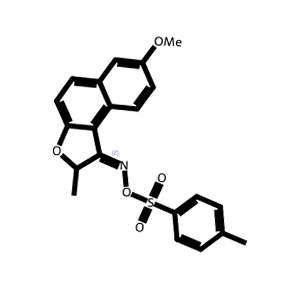 COc1ccc2c3c(ccc2c1)OC(C)/C3=N\OS(=O)(=O)c1ccc(C)cc1